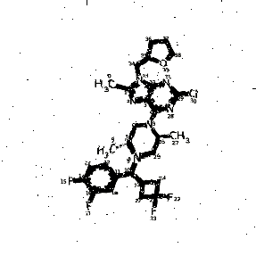 Cc1nc2c(N3C[C@@H](C)N(C(c4ccc(F)c(F)c4)C4CC(F)(F)C4)C[C@@H]3C)nc(Cl)nc2n1CC1CCCO1